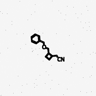 N#CCC1CCC1COCc1ccccc1